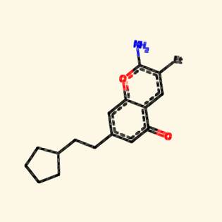 CCc1cc2c(=O)cc(CCC3CCCC3)cc-2oc1N